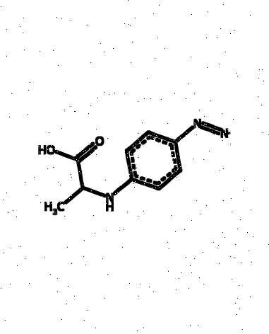 CC(Nc1ccc(N=[N])cc1)C(=O)O